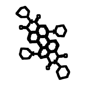 O=C1c2ccc3c4c(N5CCCCC5)cc5c6c(ccc(c7c(N8CCCCC8)cc(c2c37)C(=O)N1C1CCCCC1)c64)C(=O)N(C1CCCCC1)C5=O